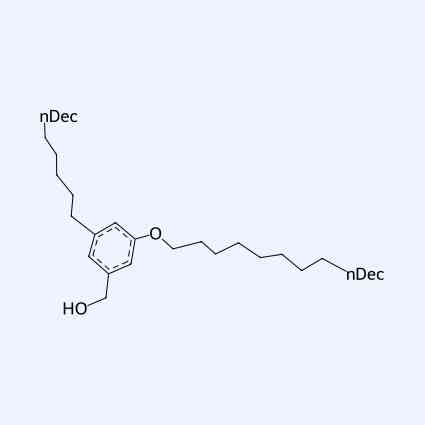 CCCCCCCCCCCCCCCCCCOc1cc(CO)cc(CCCCCCCCCCCCCCC)c1